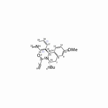 C#CC(=O)N1[C@@H](CCCC)Cc2cc(OC)ccc2[C@@H]1C(/C=C\C)=C/N=C